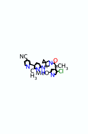 COc1cc([C@@H](C)C(=O)N2C[C@@H](Nc3ccc(-c4cc(C#N)ccn4)c(C)n3)C3(CC3)C2)c(Cl)cn1